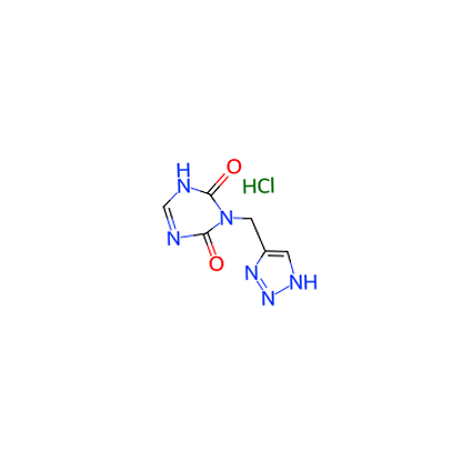 Cl.O=c1nc[nH]c(=O)n1Cc1c[nH]nn1